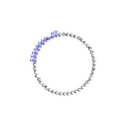 C1CCCCCCCCCCCCCCCCCCCNNNNNNNNNNCCCCCCCCCCCCCCCCCC1